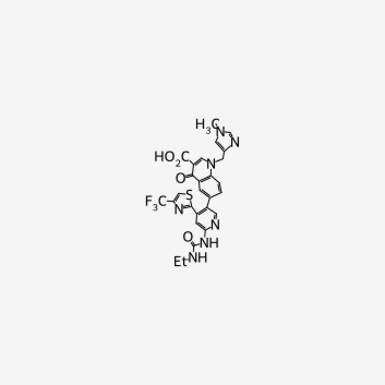 CCNC(=O)Nc1cc(-c2nc(C(F)(F)F)cs2)c(-c2ccc3c(c2)c(=O)c(C(=O)O)cn3Cc2cn(C)cn2)cn1